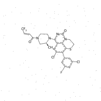 C[C@H]1CN(C(=O)/C=C/C(F)(F)F)CCN1c1nc(=O)n2c3c(c(-c4cc(F)cc(Cl)c4)c(Cl)cc13)SCC2